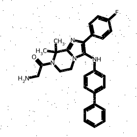 CC1(C)c2nc(-c3ccc(F)cc3)c(Nc3ccc(-c4ccccc4)cc3)n2CCN1C(=O)CN